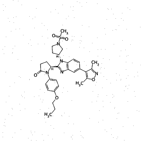 CCCOc1ccc(N2C(=O)CC[C@H]2c2nc3cc(-c4c(C)noc4C)ccc3n2[C@@H]2CCN(S(C)(=O)=O)C2)cc1